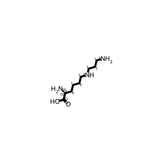 NCCCNCCCC[C@H](N)C(=O)O